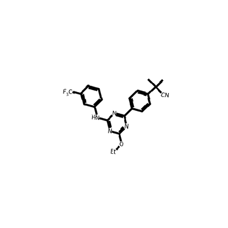 CCOc1nc(Nc2cccc(C(F)(F)F)c2)nc(-c2ccc(C(C)(C)C#N)cc2)n1